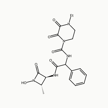 CCN1CCN(C(=O)NC(C(=O)N[C@@H]2C(=O)N(O)[C@H]2C)c2ccccc2)C(=O)C1=O